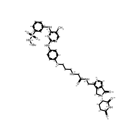 Cc1cnc(Nc2ccc(OCCCNCC(=O)NCc3scc4c3CN([C@H]3CCC(=O)NC3=O)C4=O)cc2)nc1Nc1cccc(S(=O)(=O)NC(C)(C)C)c1